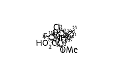 COc1ccc(Nc2ccc(F)cc2Oc2ccc(C34CC5CC(C)(CC(C)(C5)C3)C4)cc2Cl)c(C(=O)O)c1